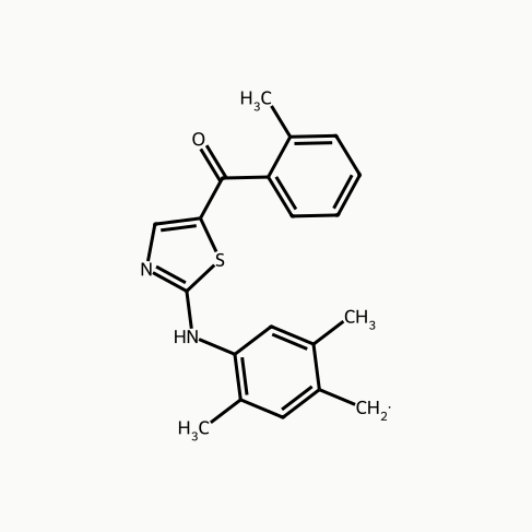 [CH2]c1cc(C)c(Nc2ncc(C(=O)c3ccccc3C)s2)cc1C